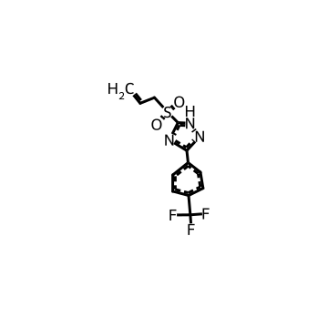 C=CCS(=O)(=O)c1nc(-c2ccc(C(F)(F)F)cc2)n[nH]1